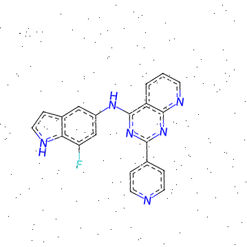 Fc1cc(Nc2nc(-c3ccncc3)nc3ncccc23)cc2cc[nH]c12